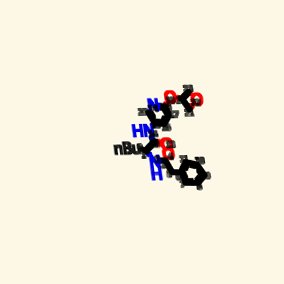 CCCCC(NC(=O)Cc1ccccc1)C(=O)Nc1ccc(OC2COC2)nc1